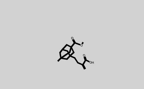 C=C(CCC12CC3CC(C)(C1)CC(C(=O)OC)(C3)C2)C(=O)O